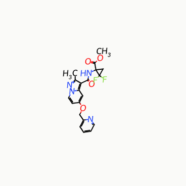 COC(=O)C1(NC(=O)c2c(C)nn3ccc(OCc4ccccn4)cc23)CC1(F)F